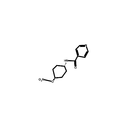 O=C(N[C@H]1CC[C@H](O[N+](=O)[O-])CC1)c1ccncc1